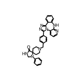 O=C1NCN(c2ccccc2)C12CCN(Cc1ccc(-c3nnc4n3-c3cccnc3Nc3ccccc3-4)cc1)CC2